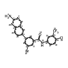 Nc1ncc2cc(-c3cc(Br)cc(C(=O)Nc4ccc(Cl)c(C(F)(F)F)c4)c3)ccc2n1